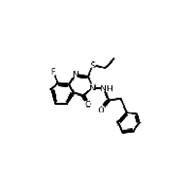 CCSc1nc2c(F)cccc2c(=O)n1NC(=O)Cc1ccccc1